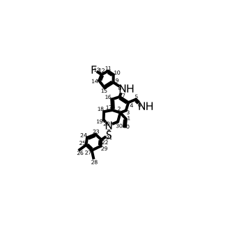 C=CC12CC(C=N)=C(Nc3ccc(F)cc3)C=C1CCN(Sc1ccc(C)c(C)c1)C2